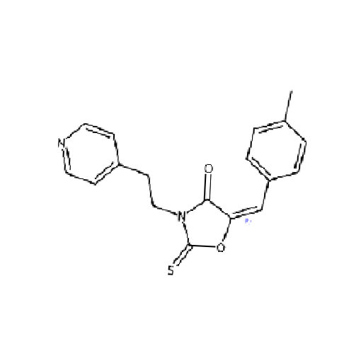 Cc1ccc(/C=C2/OC(=S)N(CCc3ccncc3)C2=O)cc1